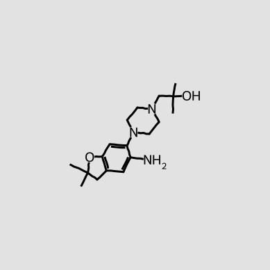 CC(C)(O)CN1CCN(c2cc3c(cc2N)CC(C)(C)O3)CC1